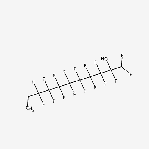 CCC(F)(F)C(F)(F)C(F)(F)C(F)(F)C(F)(F)C(F)(F)C(F)(F)C(O)(F)[C](F)F